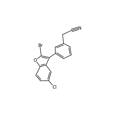 N#CCc1cccc(-c2c(Br)oc3ccc(Cl)cc23)c1